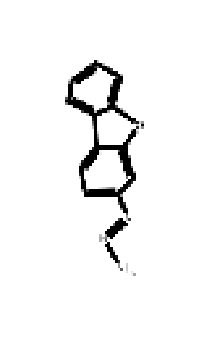 NN=Nc1ccc2c(c1)oc1ccccc12